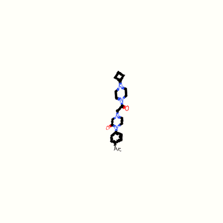 CC(=O)c1ccc(N2CCN(CC(=O)N3CCN(C4CCC4)CC3)CC2=O)cc1